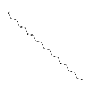 CCCCCCCCCCCCC=CC=CCCBr